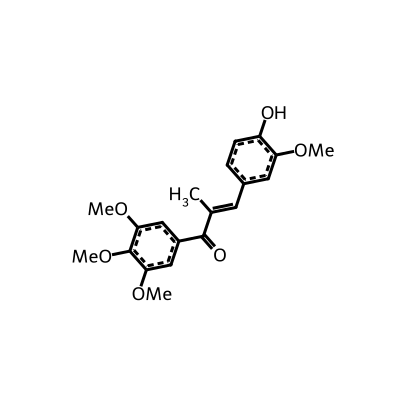 COc1cc(/C=C(\C)C(=O)c2cc(OC)c(OC)c(OC)c2)ccc1O